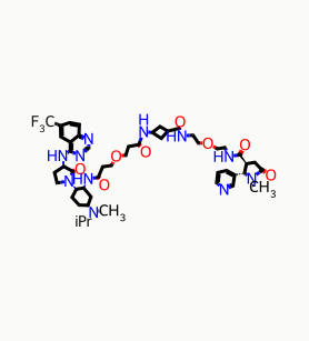 CC(C)N(C)[C@@H]1CC[C@H](N2CC[C@@H](Nc3ncnc4ccc(C(F)(F)F)cc34)C2=O)[C@H](NC(=O)CCOCCC(=O)NC2CC(C(=O)NCCOCCNC(=O)[C@H]3CC(=O)N(C)[C@@H]3c3cccnc3)C2)C1